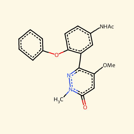 COc1cc(=O)n(C)nc1-c1cc(NC(C)=O)ccc1Oc1ccccc1